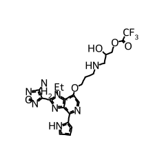 CCn1c(-c2nonc2N)nc2c(-c3ccc[nH]3)ncc(OCCCNCC(O)COC(=O)C(F)(F)F)c21